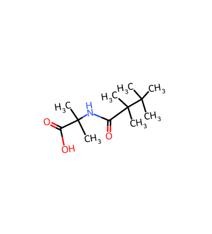 CC(C)(NC(=O)C(C)(C)C(C)(C)C)C(=O)O